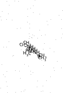 Cc1cc(NC(=O)NC2NC(C)CC(NCCCN(C)C)N2)ccc1Cl